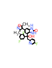 Cc1noc(C)c1-c1cc([C@](O)(Cc2ccc(F)cn2)c2cc(F)ccc2F)c2[nH]c(=O)[nH]c2c1